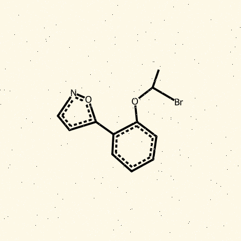 CC(Br)Oc1ccccc1-c1ccno1